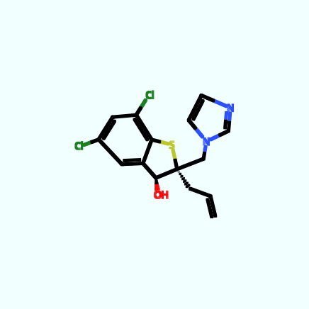 C=CC[C@@]1(Cn2ccnc2)Sc2c(Cl)cc(Cl)cc2[C@@H]1O